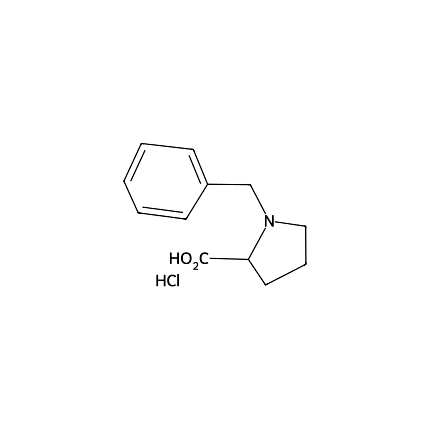 Cl.O=C(O)C1CCCN1Cc1ccccc1